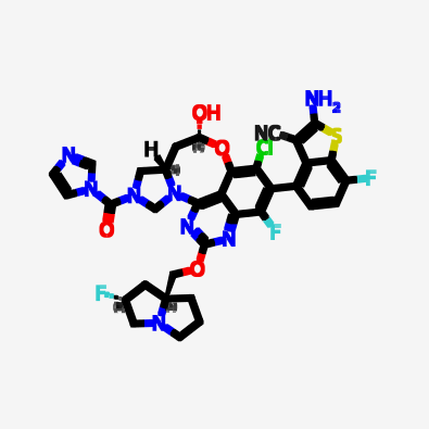 N#Cc1c(N)sc2c(F)ccc(-c3c(Cl)c4c5c(nc(OC[C@@]67CCCN6C[C@H](F)C7)nc5c3F)N3CN(C(=O)n5ccnc5)C[C@@H]3C[C@H](O)O4)c12